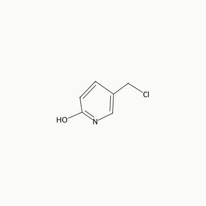 Oc1ccc(CCl)cn1